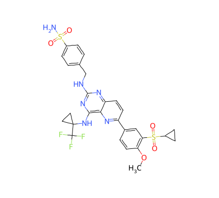 COc1ccc(-c2ccc3nc(NCc4ccc(S(N)(=O)=O)cc4)nc(NC4(C(F)(F)F)CC4)c3n2)cc1S(=O)(=O)C1CC1